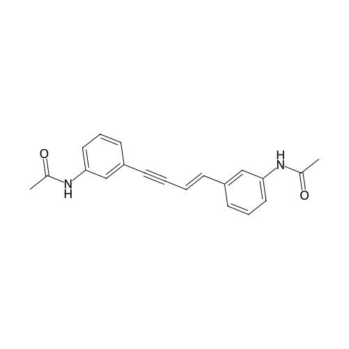 CC(=O)Nc1cccc(C#C/C=C/c2cccc(NC(C)=O)c2)c1